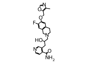 Cc1ncoc1COc1cc2c(cc1F)CN(CC(O)Cc1cnccc1C(N)=O)CC2